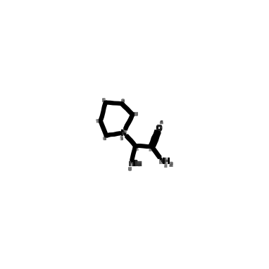 CCCCC(C(N)=O)N1CCCCC1